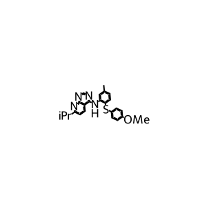 COc1ccc(Sc2ccc(C)cc2Nc2ncnc3nc(C(C)C)ccc23)cc1